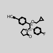 C#Cc1ccc([C@@H](OCC2CC2)[C@H](c2ccc(F)cc2)N2CCCC2=O)cc1